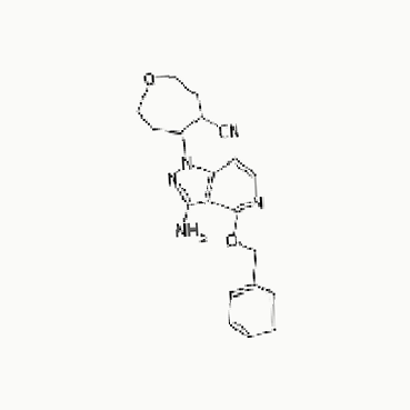 N#CC1CCOCCC1n1nc(N)c2c(OCc3ccccc3)nccc21